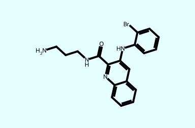 NCCCNC(=O)c1nc2ccccc2cc1Nc1ccccc1Br